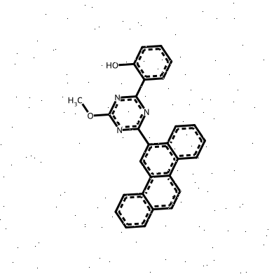 COc1nc(-c2ccccc2O)nc(-c2cc3c4ccccc4ccc3c3ccccc23)n1